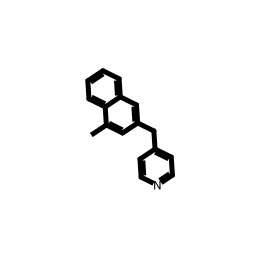 Cc1cc(Cc2ccncc2)cc2ccccc12